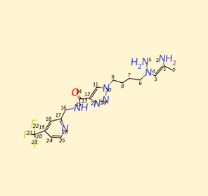 C/C(N)=C/N(N)CCCCn1cc(C(=O)NCc2cc(C(F)(F)F)ccn2)nn1